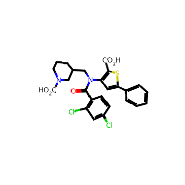 O=C(O)c1sc(-c2ccccc2)cc1N(CC1CCCN(C(=O)O)C1)C(=O)c1ccc(Cl)cc1Cl